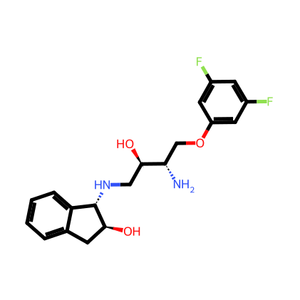 N[C@@H](COc1cc(F)cc(F)c1)[C@H](O)CN[C@H]1c2ccccc2C[C@@H]1O